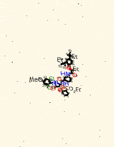 CCOC(=O)c1ccccc1S(=O)(=O)C1C(=O)N(c2c(Cl)cc(OC)cc2Cl)N=C1NC(=O)c1cccc(NC(=O)C(CC)Oc2ccc(C(C)(C)CC)cc2C(C)(C)CC)c1